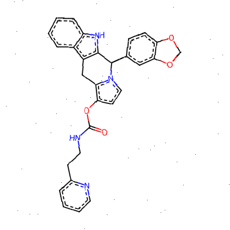 O=C(NCCc1ccccn1)Oc1ccn2c1Cc1c([nH]c3ccccc13)C2c1ccc2c(c1)OCO2